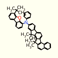 CC(C)(C)c1cccc2c1oc1c(N(c3ccccc3)c3ccc4c(c3)C(C)(C)c3c-4ccc4c3C(C)(C)c3ccc5ccccc5c3-4)cccc12